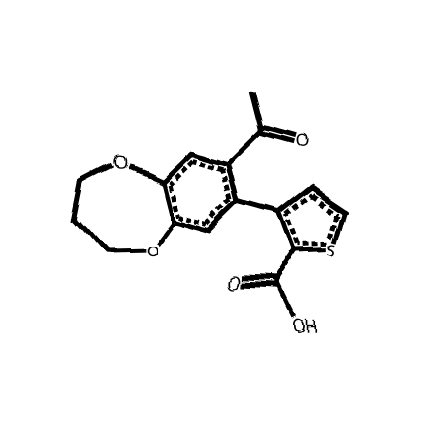 CC(=O)c1cc2c(cc1-c1ccsc1C(=O)O)OCCCO2